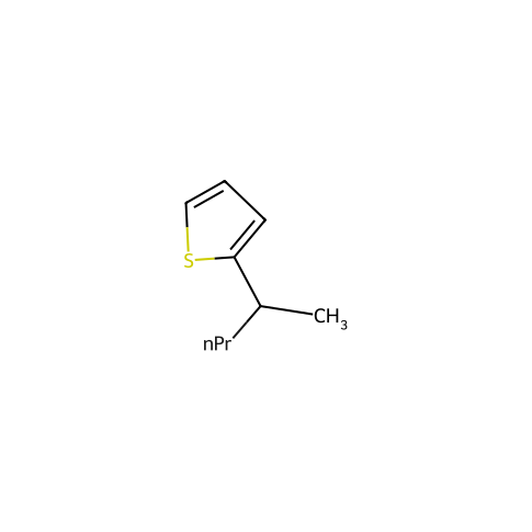 [CH2]CCC(C)c1cccs1